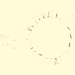 CO[C@@H]1C[C@H](C[C@@H](C)[C@@H]2CC(=O)[C@H](C)/C=C(\C)[C@@H](O)[C@@H](OC)C(=O)[C@H](C)C[C@H](C)/C=C/C=C/C=C(\C)[C@@H](OC(C)C)C[C@@H]3CC[C@@H](C)[C@@](O)(O3)C(=O)C(=O)N3CCCC[C@H]3C(=O)O2)CC[C@H]1O